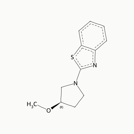 CO[C@@H]1CCN(c2nc3ccccc3s2)C1